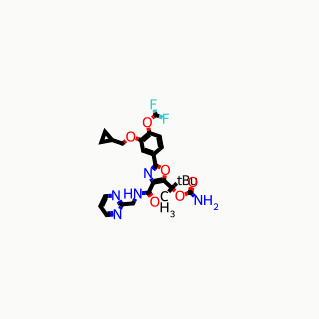 CC(C)(C)C(C)(OC(N)=O)c1oc(-c2ccc(OC(F)F)c(OCC3CC3)c2)nc1C(=O)NCc1ncccn1